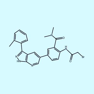 Cc1ccccc1-c1n[nH]c2ncc(-c3ccc(NC(=O)CBr)c(C(=O)N(C)C)c3)cc12